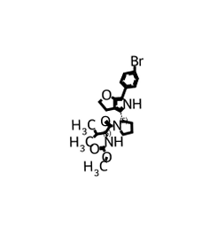 COC(=O)N[C@H](C(=O)N1CCC[C@H]1c1[nH]c(-c2ccc(Br)cc2)c2c1CCO2)C(C)C